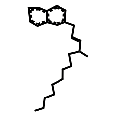 CCCCCCCCCC(C)C=CCc1ccc2ccccc2c1